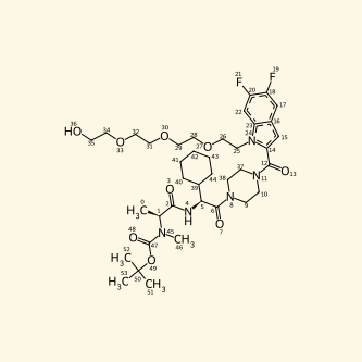 C[C@@H](C(=O)N[C@H](C(=O)N1CCN(C(=O)c2cc3cc(F)c(F)cc3n2CCOCCOCCOCCO)CC1)C1CCCCC1)N(C)C(=O)OC(C)(C)C